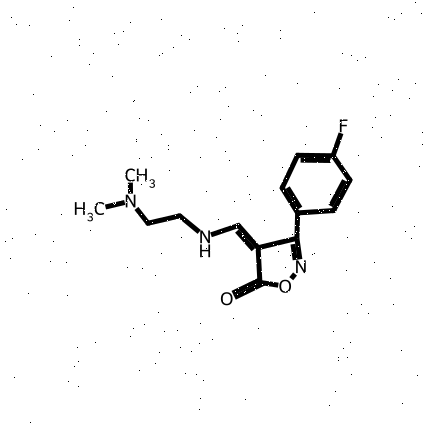 CN(C)CCN/C=C1\C(=O)ON=C1c1ccc(F)cc1